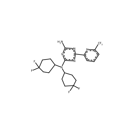 Nc1nc(-c2cccc(C(F)(F)F)n2)nc(N(C2CCC(F)(F)CC2)C2CCC(F)(F)CC2)n1